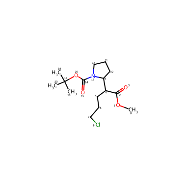 COC(=O)C(CCCCl)C1CCCN1C(=O)OC(C)(C)C